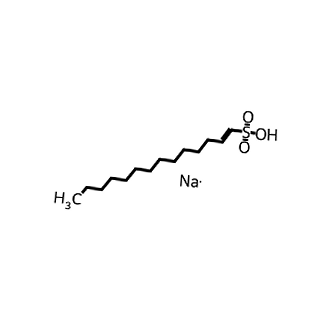 CCCCCCCCCCCCC=CS(=O)(=O)O.[Na]